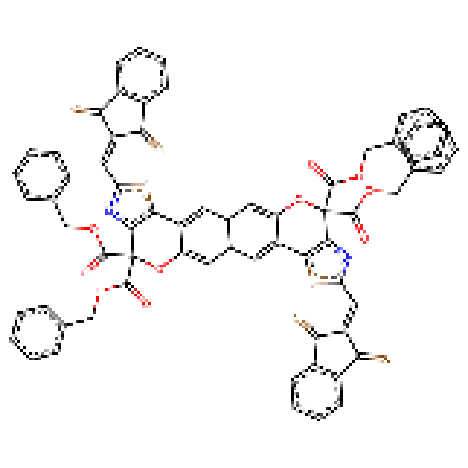 O=C(OCc1ccccc1)C1(C(=O)OCc2ccccc2)OC2=CC3C=C4C(=CC3C=C2c2sc(C=C3C(=S)c5ccccc5C3=S)nc21)OC(C(=O)OCc1ccccc1)(C(=O)OCc1ccccc1)c1nc(C=C2C(=S)c3ccccc3C2=S)sc14